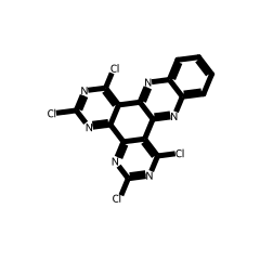 Clc1nc(Cl)c2c(n1)c1nc(Cl)nc(Cl)c1c1nc3ccccc3nc12